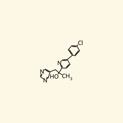 CC(O)(Cc1cncnc1)c1ccc(-c2ccc(Cl)cc2)cn1